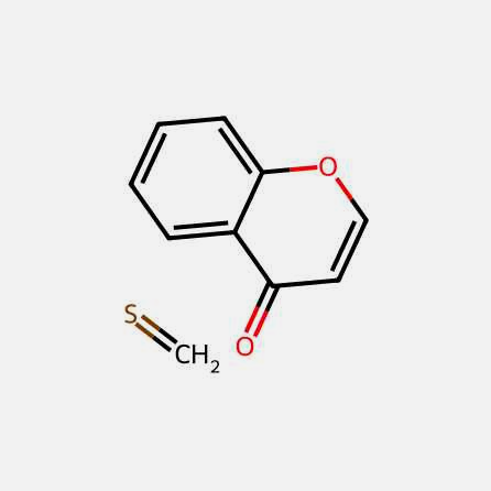 C=S.O=c1ccoc2ccccc12